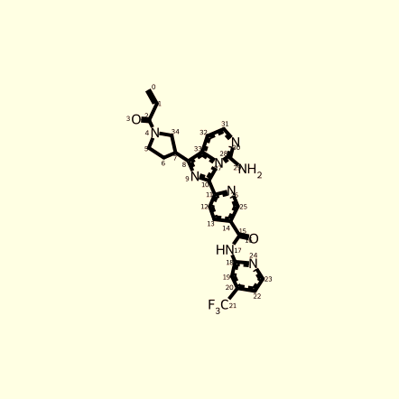 C=CC(=O)N1CCC(c2nc(-c3ccc(C(=O)Nc4cc(C(F)(F)F)ccn4)cn3)n3c(N)nccc23)C1